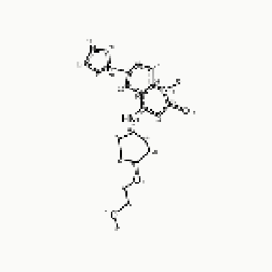 COCCO[C@H]1CC[C@H](Nc2cc(=O)n(C)c3ccc(-n4ccnc4)cc23)CC1